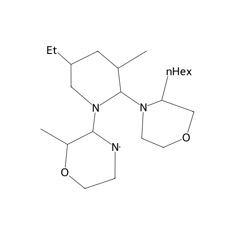 CCCCCCC1COCCN1C1C(C)CC(CC)CN1C1[N]CCOC1C